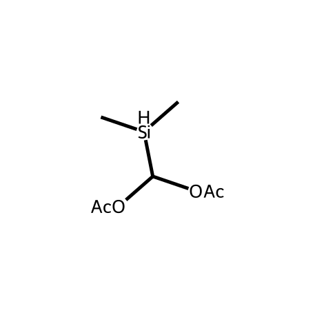 CC(=O)OC(OC(C)=O)[SiH](C)C